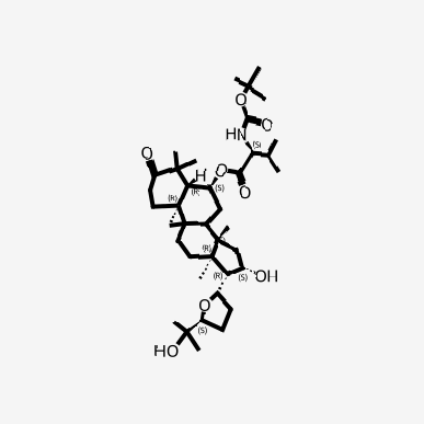 CC(C)[C@H](NC(=O)OC(C)(C)C)C(=O)O[C@H]1CC2C3(CC[C@]4(C)[C@@H](C5CC[C@@H](C(C)(C)O)O5)[C@@H](O)C[C@@]24C)C[C@@]32CCC(=O)C(C)(C)[C@H]12